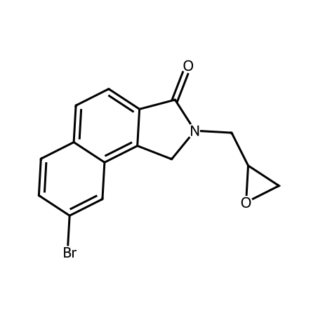 O=C1c2ccc3ccc(Br)cc3c2CN1CC1CO1